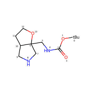 CC(C)(C)OC(=O)NCC12CNCC1CCO2